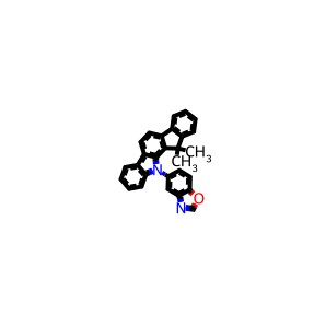 CC1(C)c2ccccc2-c2ccc3c4ccccc4n(-c4ccc5ocnc5c4)c3c21